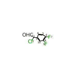 O=CC(Cl)c1ccc(F)c(F)c1